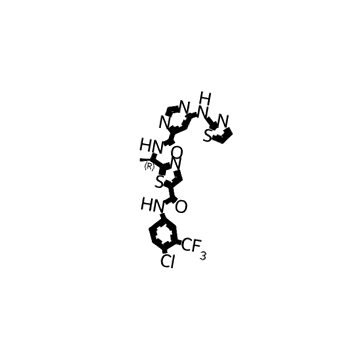 C[C@@H](NC(=O)c1cc(Nc2nccs2)ncn1)c1ncc(C(=O)Nc2ccc(Cl)c(C(F)(F)F)c2)s1